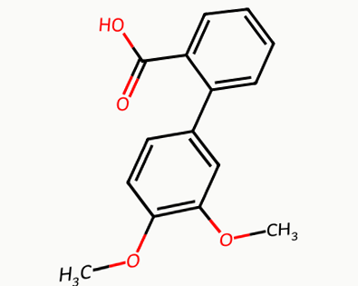 COc1ccc(-c2ccccc2C(=O)O)cc1OC